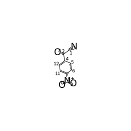 N#CC(=O)c1ccc([N+](=O)[O-])cc1